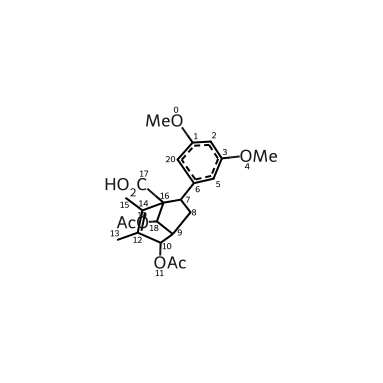 COc1cc(OC)cc(C2CC3C(OC(C)=O)C(C)=C(C)C2(C(=O)O)C3OC(C)=O)c1